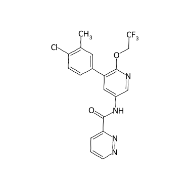 Cc1cc(-c2cc(NC(=O)c3cccnn3)cnc2OCC(F)(F)F)ccc1Cl